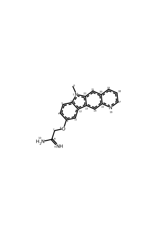 Cn1c2ccc(OCC(=N)N)cc2c2cc3ncccc3cc21